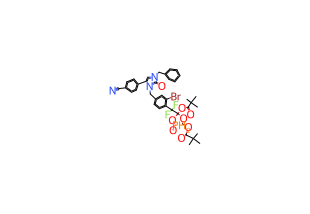 CC(C)(C)C(=O)OCOC(O[PH2]=O)(OC(=O)C(C)(C)C)C(F)(F)c1ccc(Cn2c(-c3ccc(C#N)cc3)cn(Cc3ccccc3)c2=O)cc1Br